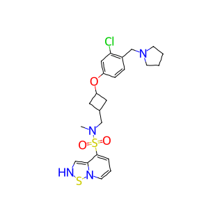 CN(CC1CC(Oc2ccc(CN3CCCC3)c(Cl)c2)C1)S(=O)(=O)C1=CC=CN2SNC=C12